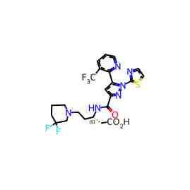 O=C(O)C[C@H](CCN1CCCC(F)(F)C1)NC(=O)c1cc(-c2ncccc2C(F)(F)F)n(-c2nccs2)n1